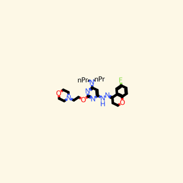 CCCN(CCC)c1cc(N/N=C2\CCOc3ccc(F)cc32)nc(OCCN2CCOCC2)n1